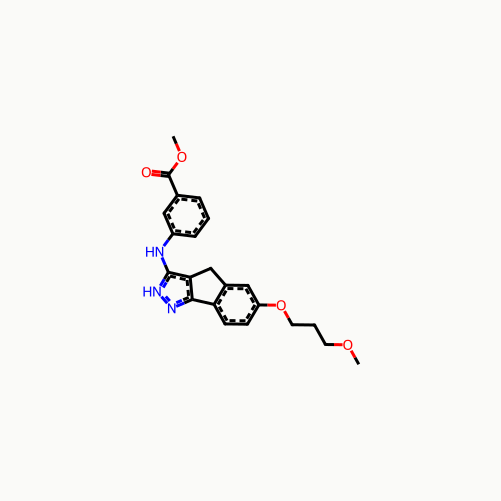 COCCCOc1ccc2c(c1)Cc1c-2n[nH]c1Nc1cccc(C(=O)OC)c1